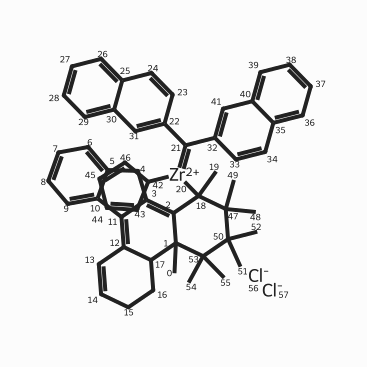 CC12C(=C3Cc4ccccc4C3=C3C=CCCC31)[C](C)([Zr+2](=[C](c1ccc3ccccc3c1)c1ccc3ccccc3c1)[CH]1C=CC=C1)C(C)(C)C(C)(C)C2(C)C.[Cl-].[Cl-]